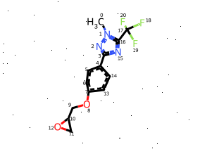 Cn1nc(-c2ccc(OCC3CO3)cc2)nc1C(F)(F)F